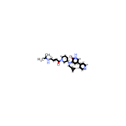 CC(C)NC/C=C/C(=O)N1CCC[C@@H](N(CC2CC2)c2cc(-c3ccncc3)c[nH]c2=O)C1